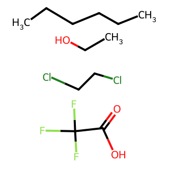 CCCCCC.CCO.ClCCCl.O=C(O)C(F)(F)F